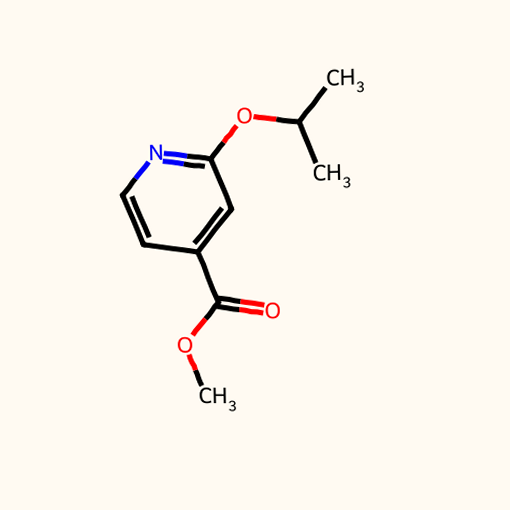 COC(=O)c1ccnc(OC(C)C)c1